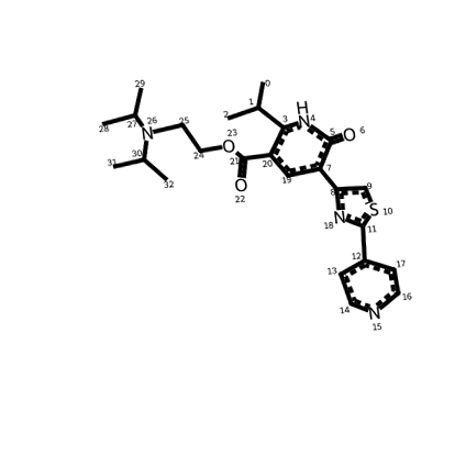 CC(C)c1[nH]c(=O)c(-c2csc(-c3ccncc3)n2)cc1C(=O)OCCN(C(C)C)C(C)C